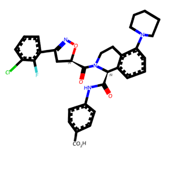 O=C(O)c1ccc(NC(=O)[C@@H]2c3cccc(N4CCCCC4)c3CCN2C(=O)[C@H]2CC(c3cccc(Cl)c3F)=NO2)cc1